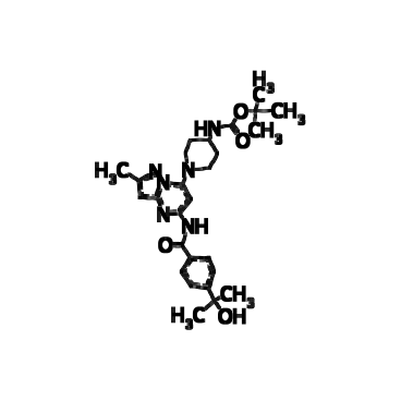 Cc1cc2nc(NC(=O)c3ccc(C(C)(C)O)cc3)cc(N3CCC(NC(=O)OC(C)(C)C)CC3)n2n1